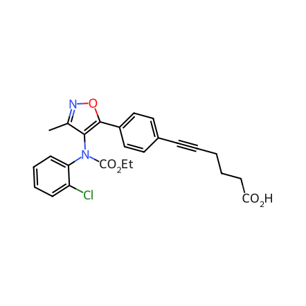 CCOC(=O)N(c1ccccc1Cl)c1c(C)noc1-c1ccc(C#CCCCC(=O)O)cc1